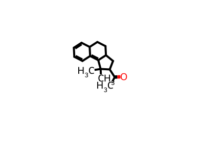 CC(=O)C1CC2CCC3C=CC=CC3=C2C1(C)C